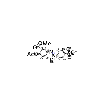 COC(=O)c1cc(/N=N/c2ccc(S(=O)(=O)[O-])cc2)ccc1OC(C)=O.[K+]